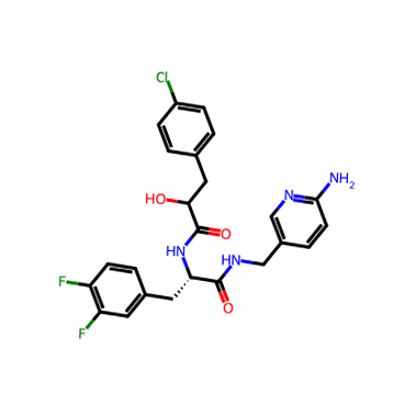 Nc1ccc(CNC(=O)[C@H](Cc2ccc(F)c(F)c2)NC(=O)C(O)Cc2ccc(Cl)cc2)cn1